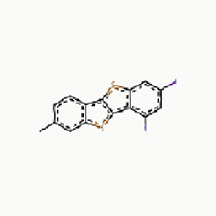 Cc1ccc2c(c1)sc1c2sc2cc(I)cc(I)c21